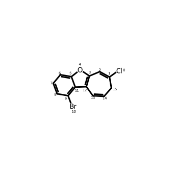 ClC1=Cc2oc3cccc(Br)c3c2C=CC1